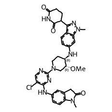 CO[C@@H]1CN(c2ncc(Cl)c(Nc3ccc4c(c3)CC(=O)N4C)n2)CC[C@H]1Nc1ccc2c(C3CCC(=O)NC3=O)nn(C)c2c1